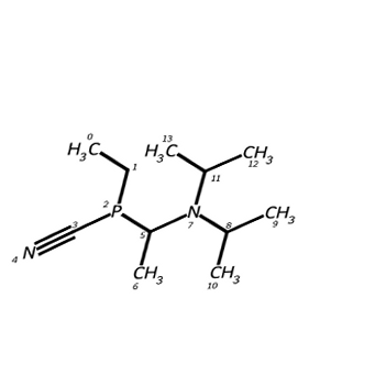 CCP(C#N)C(C)N(C(C)C)C(C)C